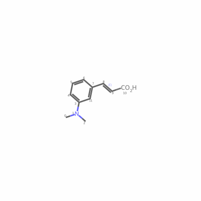 CN(C)c1cccc(/C=C/C(=O)O)c1